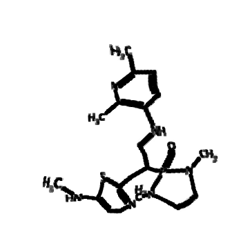 CNc1cnc(C(CNc2ccc(C)nc2C)P2(=O)N(C)CCN2C)s1